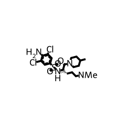 CNCCC[C@H](NS(=O)(=O)c1cc(Cl)c(N)c(Cl)c1)C(=O)N1CCC(C)CC1